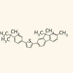 Cc1ccc2c(c1)C(C)(C)c1cc(-c3ccc(-c4ccc(C(C)(C)C)cc4)s3)ccc1-2